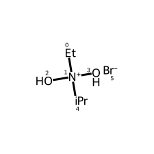 CC[N+](O)(O)C(C)C.[Br-]